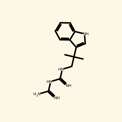 CC(C)(CNC(=N)NC(=N)N)c1c[nH]c2ccccc12